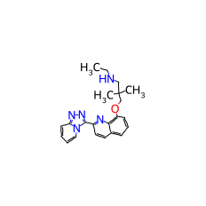 CCNCC(C)(C)COc1cccc2ccc(-c3nnc4ccccn34)nc12